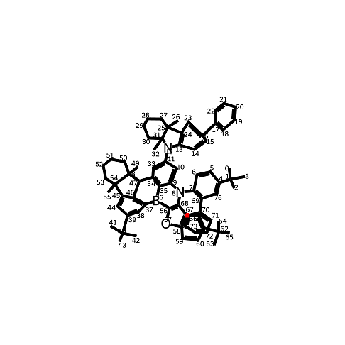 CC(C)(C)c1ccc(N2c3cc(N4c5ccc(-c6ccccc6)cc5C5(C)CCCCC45C)cc4c3B(c3cc(C(C)(C)C)cc5c3C4C3(C)CCCCC53C)c3oc4ccc(C(C)(C)C)cc4c32)c(-c2ccccc2)c1